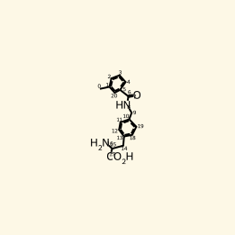 Cc1cccc(C(=O)NCc2ccc(CC(N)C(=O)O)cc2)c1